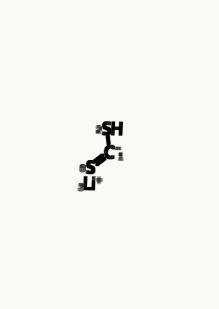 S=[C-]S.[Li+]